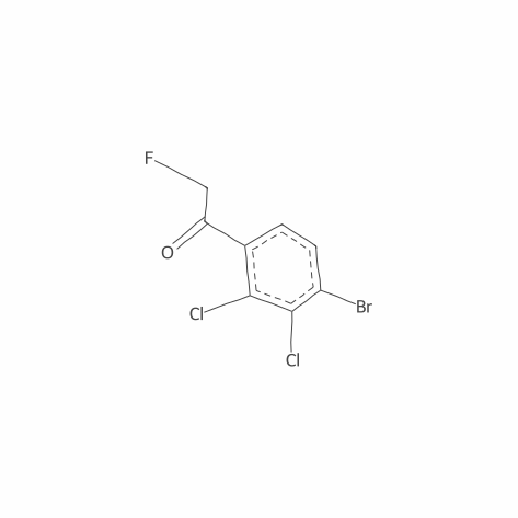 O=C(CF)c1ccc(Br)c(Cl)c1Cl